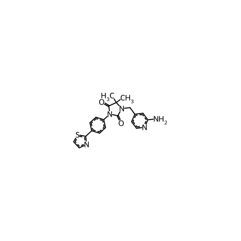 CC1(C)C(=O)N(c2ccc(-c3nccs3)cc2)C(=O)N1Cc1ccnc(N)c1